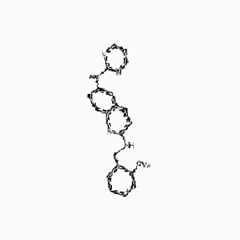 COc1ccccc1CNc1ccc2cc(Nc3ncccn3)ccc2n1